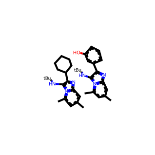 Cc1cc(C)n2c(NC(C)(C)C)c(-c3cccc(O)c3)nc2c1.Cc1cc(C)n2c(NC(C)(C)C)c(C3CCCCC3)nc2c1